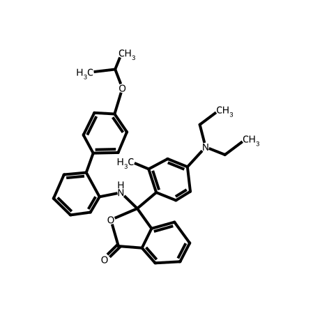 CCN(CC)c1ccc(C2(Nc3ccccc3-c3ccc(OC(C)C)cc3)OC(=O)c3ccccc32)c(C)c1